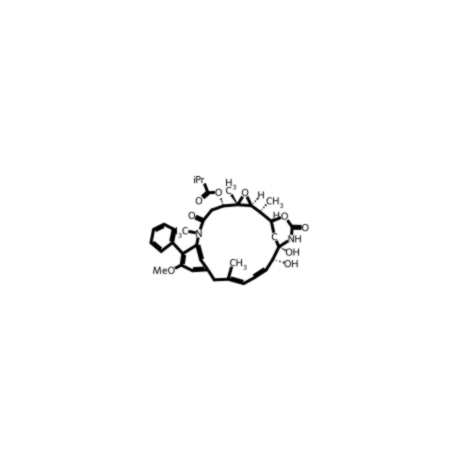 COc1cc2cc(c1-c1ccccc1)N(C)C(=O)C[C@H](OC(=O)C(C)C)[C@]1(C)O[C@H]1[C@H](C)[C@@H]1C[C@@](O)(NC(=O)O1)[C@H](O)/C=C/C=C(\C)C2